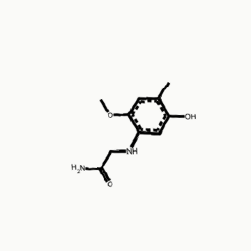 COc1cc(C)c(O)cc1NCC(N)=O